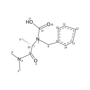 C[C@@H](C(=O)N(C)C)N(Cc1ccccc1)C(=O)O